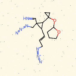 [N-]=[N+]=NC/C=C/C1C(C2(OC3CCCO3)CC2)C1(C=N)CN=[N+]=[N-]